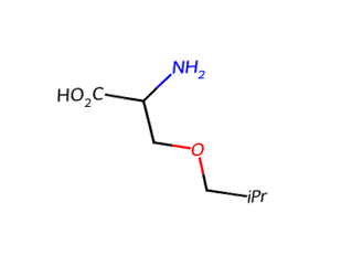 CC(C)COCC(N)C(=O)O